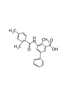 Cc1ccc(C(=O)Nc2cc(-c3ccccc3)cc(C(=O)O)c2C)c(C)c1